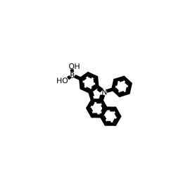 OB(O)c1ccc2c(c1)c1ccc3ccccc3c1n2-c1ccccc1